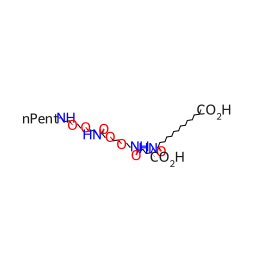 CCCCCNCCOCCOCCNC(=O)COCCOCCNC(=O)CC[C@H](NC(=O)CCCCCCCCCCCCC(=O)O)C(=O)O